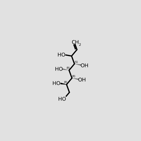 C=CC(O)[C@H](O)[C@@H](O)[C@H](O)[C@H](O)CO